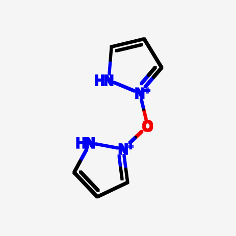 c1c[nH][n+](O[n+]2ccc[nH]2)c1